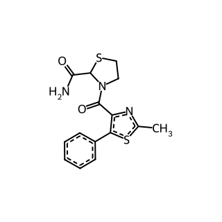 Cc1nc(C(=O)N2CCSC2C(N)=O)c(-c2ccccc2)s1